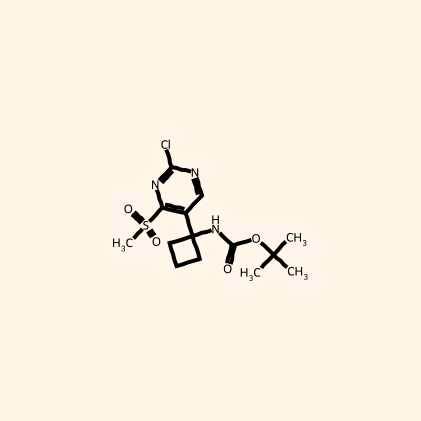 CC(C)(C)OC(=O)NC1(c2cnc(Cl)nc2S(C)(=O)=O)CCC1